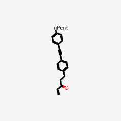 C=CC(=O)CCc1ccc(C#Cc2ccc(CCCCC)cc2)cc1